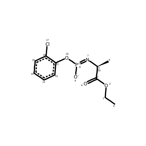 CCOC(=O)[C@H](C)N=[P+]([O-])Oc1ccccc1Cl